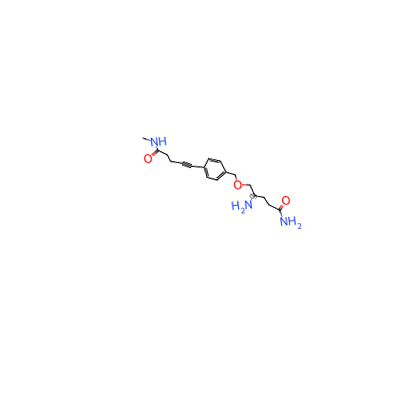 CNC(=O)CCC#Cc1ccc(COC[C@@H](N)CCC(N)=O)cc1